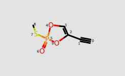 C#CC1=COP(=O)(SC)O1